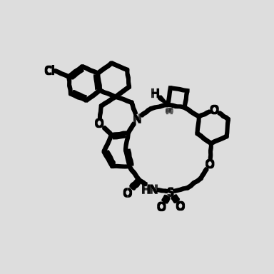 O=C1NS(=O)(=O)CCOC2CCOC(C2)C2CC[C@H]2CN2CC3(CCCc4cc(Cl)ccc43)COc3ccc1cc32